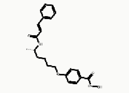 C[C@@H](CCCCOc1ccc(C(=O)NO)cc1)NC(=O)/C=C/c1ccccc1